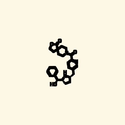 O=C(c1ccc(C[C@@H]2CC[C@H]([C@H](O)c3ccccc3)N2)cn1)N1CCC2(CCOC2=O)CC1